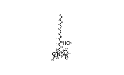 CCCCCCCCCCCCCCCC[N+]1(CN2CCCC2=O)COC(C)C1.Cl